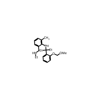 CCNCc1cccc(C)c1PC(CC)(CC)c1ccccc1OCOC